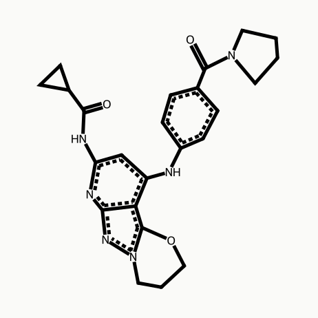 O=C(Nc1cc(Nc2ccc(C(=O)N3CCCC3)cc2)c2c3n(nc2n1)CCCO3)C1CC1